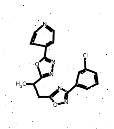 CC(Cc1nc(-c2cccc(Cl)c2)no1)c1nnc(-c2ccncc2)o1